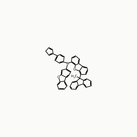 CC1(c2cccc3c2oc2c(N(c4ccc(C5=CCC=C5)cc4)c4ccc5c(c4)oc4ccccc45)cccc23)c2ccccc2-c2ccccc21